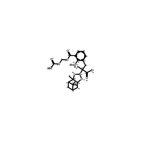 CCCCC(=O)OCOC(=O)c1cccc(CC(N)(B2OC3CC4CC(C4(C)C)C3(C)O2)C(=O)CC)c1OC